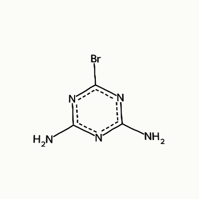 Nc1nc(N)nc(Br)n1